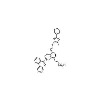 Cc1oc(-c2ccccc2)nc1CCOc1ccc(CCC(=O)O)c2c1CCN(C(=O)c1ccccc1-c1ccccc1)C2